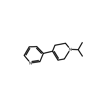 CC(C)N1CC=C(c2cccnc2)CC1